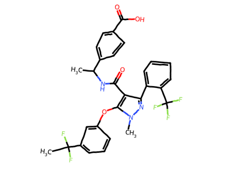 CC(NC(=O)c1c(-c2ccccc2C(F)(F)F)nn(C)c1Oc1cccc(C(C)(F)F)c1)c1ccc(C(=O)O)cc1